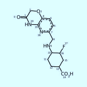 O=C1COc2ccc(CNC3CCC(C(=O)O)CC3F)nc2N1